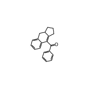 O=C(C1=C2CCCC2Cc2ccccc21)c1ccccc1